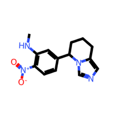 CNc1cc(C2CCCc3cncn32)ccc1[N+](=O)[O-]